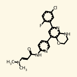 CN(C)C=CC(=O)Nc1ccc(-c2cc(-c3cc(Cl)ccc3F)nc3c2OCCN3)cn1